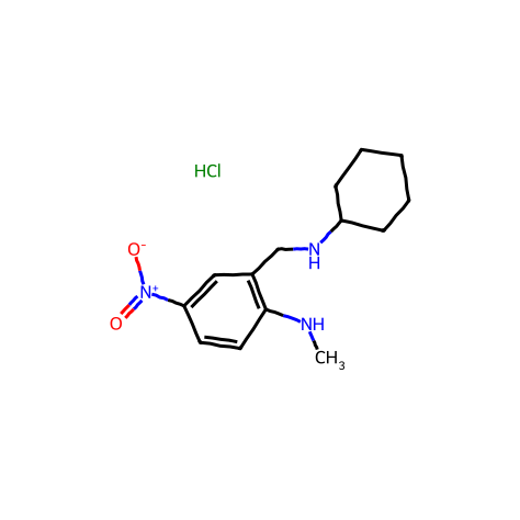 CNc1ccc([N+](=O)[O-])cc1CNC1CCCCC1.Cl